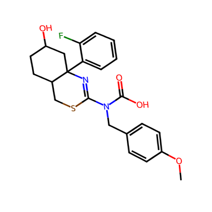 COc1ccc(CN(C(=O)O)C2=NC3(c4ccccc4F)CC(O)CCC3CS2)cc1